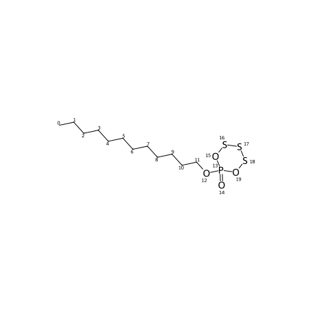 CCCCCCCCCCCCOP1(=O)OSSSO1